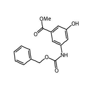 COC(=O)c1cc(O)cc(NC(=O)OCc2ccccc2)c1